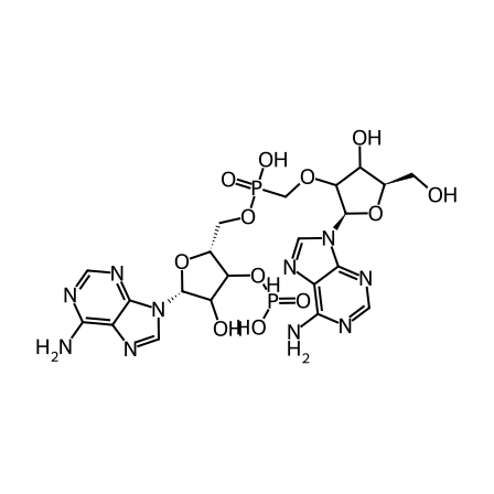 Nc1ncnc2c1ncn2[C@@H]1O[C@H](COP(=O)(O)COC2C(O)[C@@H](CO)O[C@H]2n2cnc3c(N)ncnc32)C(O[PH](=O)O)C1O